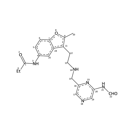 CCC(=O)Nc1ccc2oc(C)c(CCNCc3cncc(NC=O)n3)c2c1